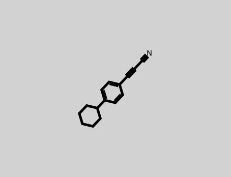 N#CC#Cc1ccc(C2CCCCC2)cc1